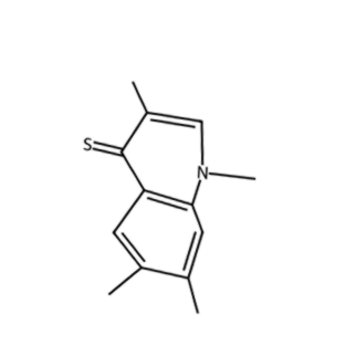 Cc1cc2c(=S)c(C)cn(C)c2cc1C